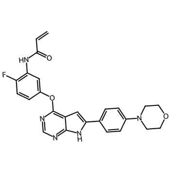 C=CC(=O)Nc1cc(Oc2ncnc3[nH]c(-c4ccc(N5CCOCC5)cc4)cc23)ccc1F